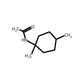 CC(=O)NC1(C)CCC(C)CC1